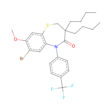 CCCCC1(CCCC)CSc2cc(OC)c(Br)cc2N(c2ccc(C(F)(F)F)cc2)C1=O